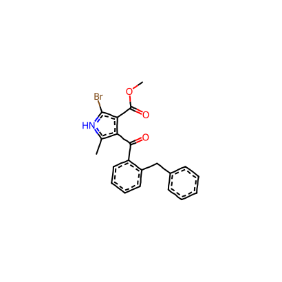 COC(=O)c1c(Br)[nH]c(C)c1C(=O)c1ccccc1Cc1ccccc1